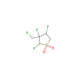 O=S1(=O)CC(F)C(F)(CF)C1F